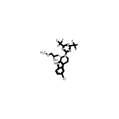 COC[C@H](O)C[C@H]1c2[nH]c3ccc(Cl)cc3c2CCN1c1nc(C(F)(F)F)nc(C(F)(F)F)n1